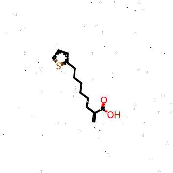 C=C(CCCCCCc1cccs1)C(=O)O